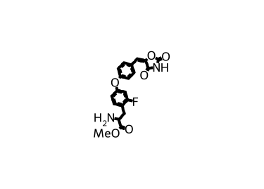 COC(=O)C(N)Cc1ccc(Oc2ccc(C=C3OC(=O)NC3=O)cc2)cc1F